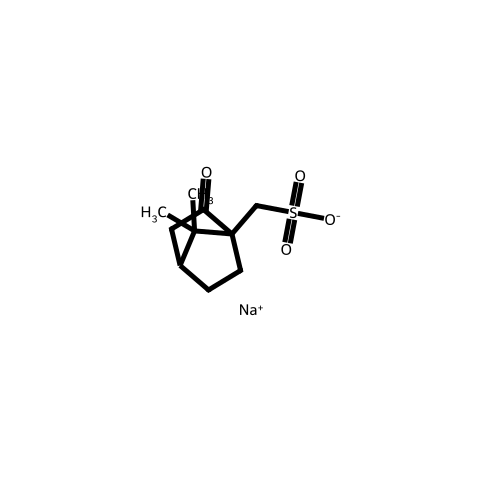 CC1(C)C2CCC1(CS(=O)(=O)[O-])C(=O)C2.[Na+]